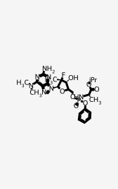 CC(C)OC(=O)[C@H](C)NP(=O)(OCC1O[C@@H](n2cnc3c(N(C)C)nc(N)nc32)[C@](C)(F)[C@@H]1O)Oc1ccccc1